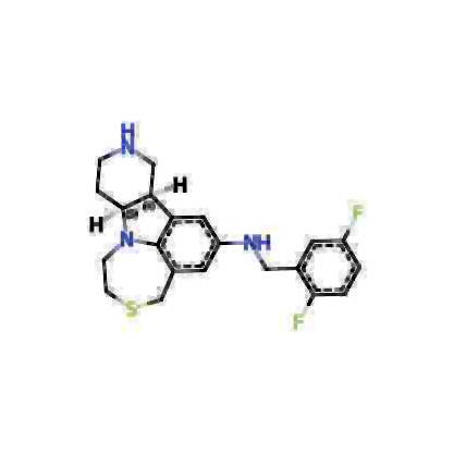 Fc1ccc(F)c(CNc2cc3c4c(c2)[C@@H]2CNCC[C@@H]2N4CCSC3)c1